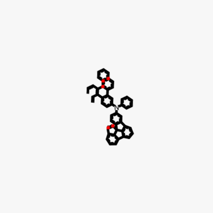 C=C/C(=C(\C=C/C)Cc1ccccc1)c1ccc(N(c2ccccc2)c2ccc3c(c2)-c2cccc4c2C32c3ccccc3-c3cccc-4c32)cc1-c1ccccc1